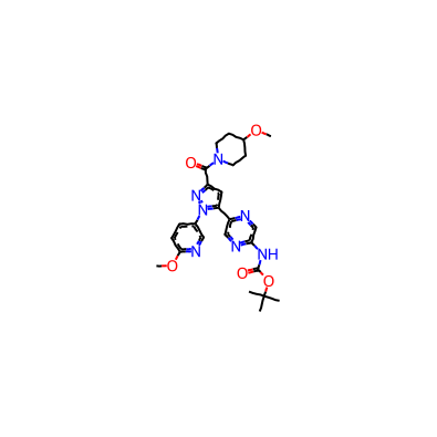 COc1ccc(-n2nc(C(=O)N3CCC(OC)CC3)cc2-c2cnc(NC(=O)OC(C)(C)C)cn2)cn1